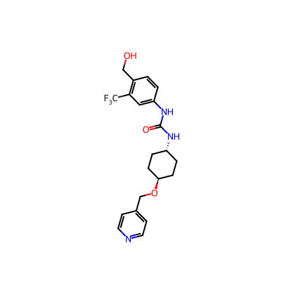 O=C(Nc1ccc(CO)c(C(F)(F)F)c1)N[C@H]1CC[C@H](OCc2ccncc2)CC1